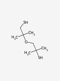 CC(C)(S)COC(C)(C)CS